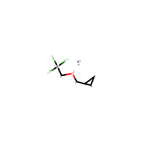 F[B-](F)(F)COCC1CC1.[K+]